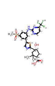 CC1(C)C[C@@](O)(c2ncc(-c3cc(Nc4nccc(C(F)(F)F)n4)cc(S(C)(=O)=O)c3)s2)CC[C@@H]1C(=O)O